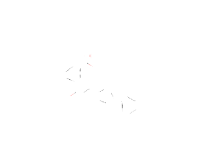 Cc1c(-c2ccc(-c3ccccc3)cc2)oc2c(C(=O)O)cccc2c1=O